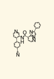 N#Cc1ccc(-c2ccncc2NC(=O)c2ccnn3cc(-c4ccccc4)nc23)cc1